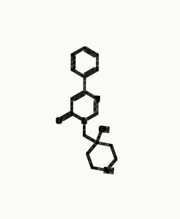 O=c1cc(-c2ccccc2)ncn1CC1(O)CCNCC1